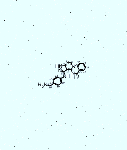 C[C@@H](Nc1ncnc2[nH]nc(Nc3ccc(CN)cc3)c12)c1ccccc1